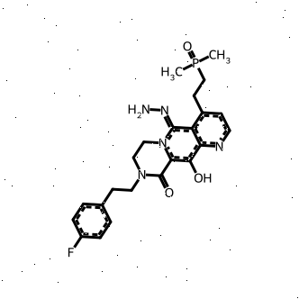 CP(C)(=O)CCc1ccnc2c(O)c3n(/c(=N\N)c12)CCN(CCc1ccc(F)cc1)C3=O